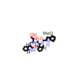 COc1cccc2[nH]c(C(=O)N3C[C@@H]4CCC[C@@H]4[C@H]3C(=O)N[C@@H](C[C@H]3C(=O)N[C@@H]4CCC[C@@H]43)C(=O)CO)cc12